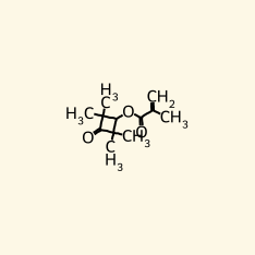 C=C(C)C(=O)OC1C(C)(C)C(=O)C1(C)C